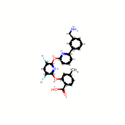 Cc1ccc(C(=O)O)c(Oc2nc(Oc3cccc(-c4cccc(CN)c4)n3)c(F)cc2F)c1